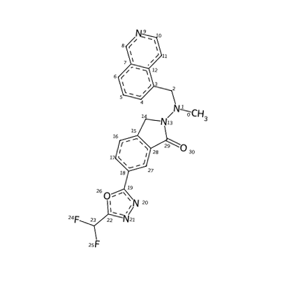 CN(Cc1cccc2cnccc12)N1Cc2ccc(-c3nnc(C(F)F)o3)cc2C1=O